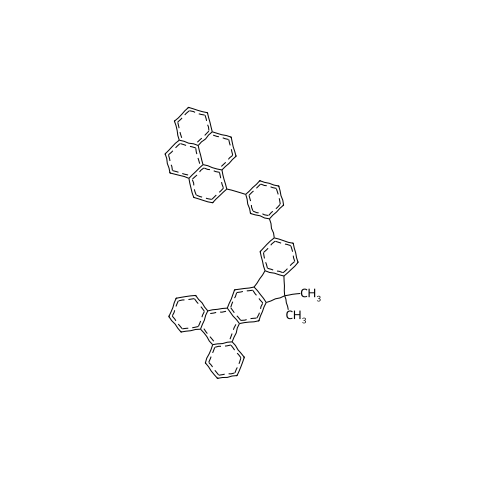 CC1(C)c2ccc(-c3cccc(-c4ccc5ccc6cccc7ccc4c5c67)c3)cc2-c2cc3c4ccccc4c4ccccc4c3cc21